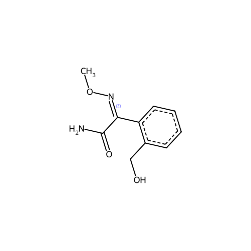 CO/N=C(\C(N)=O)c1ccccc1CO